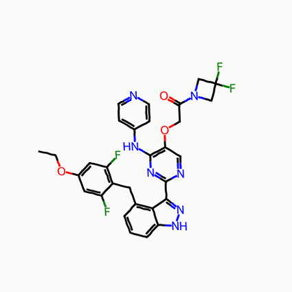 CCOc1cc(F)c(Cc2cccc3[nH]nc(-c4ncc(OCC(=O)N5CC(F)(F)C5)c(Nc5ccncc5)n4)c23)c(F)c1